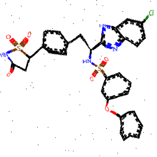 O=C1CC(c2ccc(C[C@H](NS(=O)(=O)c3cccc(Oc4ccccc4)c3)c3nc4ccc(Cl)cc4[nH]3)cc2)S(=O)(=O)N1